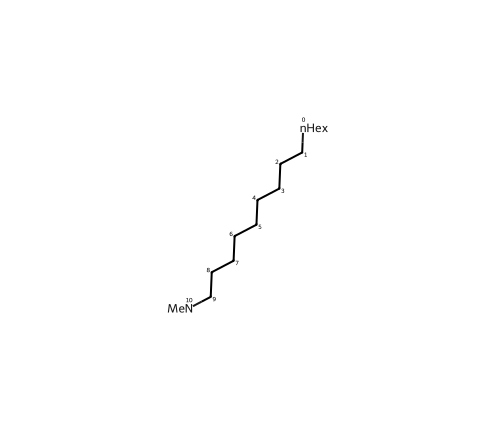 CCCCCCCCCCCCCCCNC